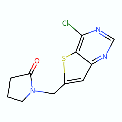 O=C1CCCN1Cc1cc2ncnc(Cl)c2s1